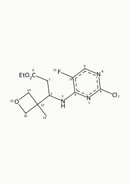 CCOC(=O)CC(Nc1nc(Cl)ncc1F)C1(C)COC1